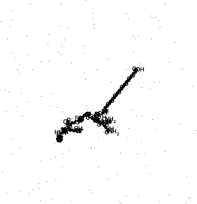 Cc1cc(N(CCCC(O)C[N+](C)(C)C)c2nc(C(=O)[O-])c(CCCOc3ccc(C#CCN(C)C(=O)OCc4ccc(NC(=O)[C@H](CCCNC(N)=O)NC(=O)[C@@H](N)C(C)C)cc4CN(C)C(=O)OCc4cn(CCOCCOCCOCCOCCOCCOCCOCCOCCC(=O)O)nn4)cc3F)s2)nnc1Nc1nc2ccccc2s1